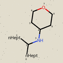 CCCCCCCC(CCCCCCC)NC1CCOCC1